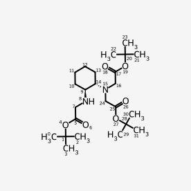 CC(C)(C)OC(=O)CN[C@H]1CCCC[C@@H]1N(CC(=O)OC(C)(C)C)CC(=O)OC(C)(C)C